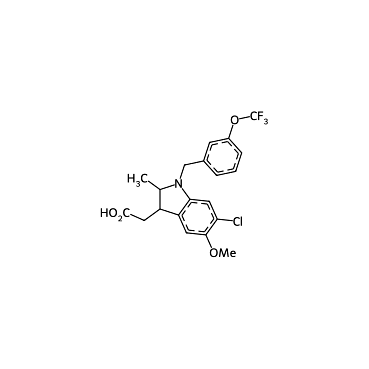 COc1cc2c(cc1Cl)N(Cc1cccc(OC(F)(F)F)c1)C(C)C2CC(=O)O